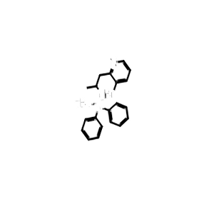 CC(Cc1ncccc1Br)O[Si](c1ccccc1)(c1ccccc1)C(C)(C)C